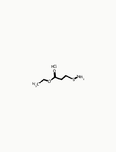 CCOC(=O)CCSN.Cl